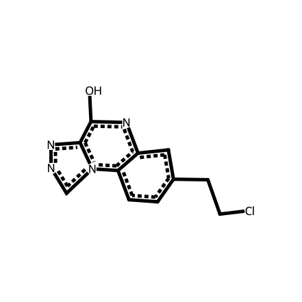 Oc1nc2cc(CCCl)ccc2n2cnnc12